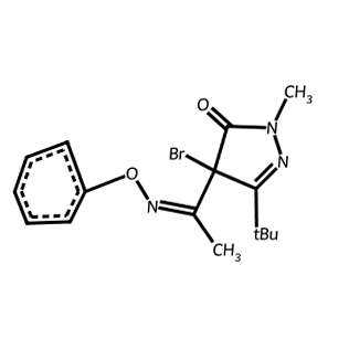 CC(=NOc1ccccc1)C1(Br)C(=O)N(C)N=C1C(C)(C)C